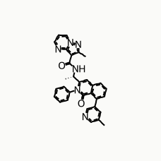 Cc1cncc(-c2cccc3cc([C@H](C)NC(=O)c4c(C)nn5cccnc45)n(-c4ccccc4)c(=O)c23)c1